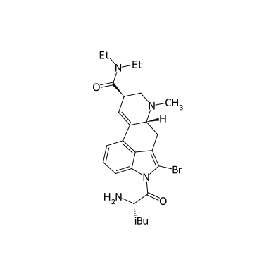 CCC(C)[C@H](N)C(=O)n1c(Br)c2c3c(cccc31)C1=C[C@@H](C(=O)N(CC)CC)CN(C)[C@@H]1C2